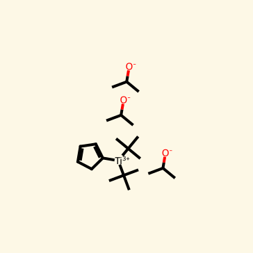 CC(C)[O-].CC(C)[O-].CC(C)[O-].C[C](C)(C)[Ti+3]([C]1=CC=CC1)[C](C)(C)C